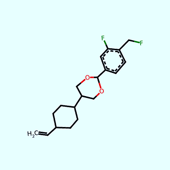 C=CC1CCC(C2COC(c3ccc(CF)c(F)c3)OC2)CC1